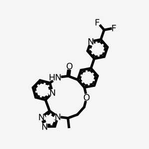 CC1CCOc2ccc(-c3ccc(C(F)F)nc3)cc2C(=O)Nc2cccc(n2)-c2nncn21